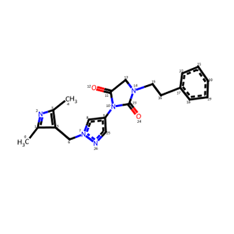 CC1=NC(C)=C1Cn1cc(N2C(=O)CN(CCc3ccccc3)C2=O)cn1